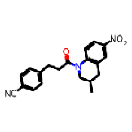 CC1Cc2cc([N+](=O)[O-])ccc2N(C(=O)CCc2ccc(C#N)cc2)C1